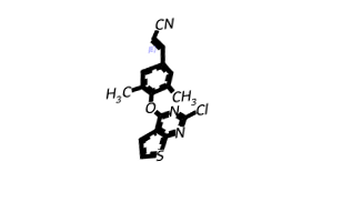 Cc1cc(/C=C/C#N)cc(C)c1Oc1nc(Cl)nc2sccc12